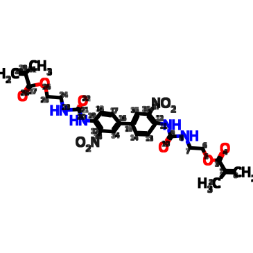 C=C(C)C(=O)OCCNC(=O)Nc1ccc(-c2ccc(NC(=O)NCCOC(=O)C(=C)C)c([N+](=O)[O-])c2)cc1[N+](=O)[O-]